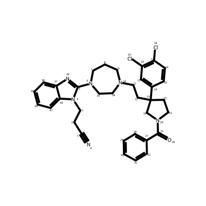 N#CCCn1c(N2CCCN(CCC3(c4ccc(Cl)c(Cl)c4)CCN(C(=O)c4ccccc4)C3)CC2)nc2ccccc21